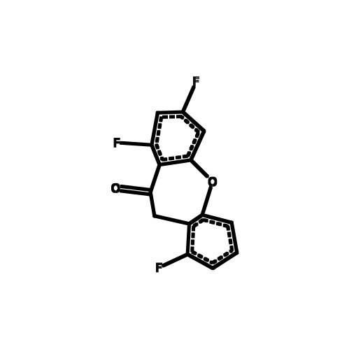 O=C1Cc2c(F)cccc2Oc2cc(F)cc(F)c21